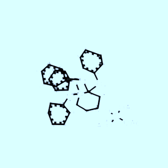 CC(=O)O[Si](OC(C)=O)(OC(C)=O)OC(C)=O.c1ccc(OC2(Oc3ccccc3)CCCC[Si]2(Oc2ccccc2)Oc2ccccc2)cc1